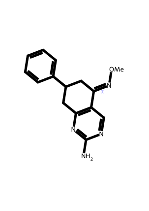 CO/N=C1\CC(c2ccccc2)Cc2nc(N)ncc21